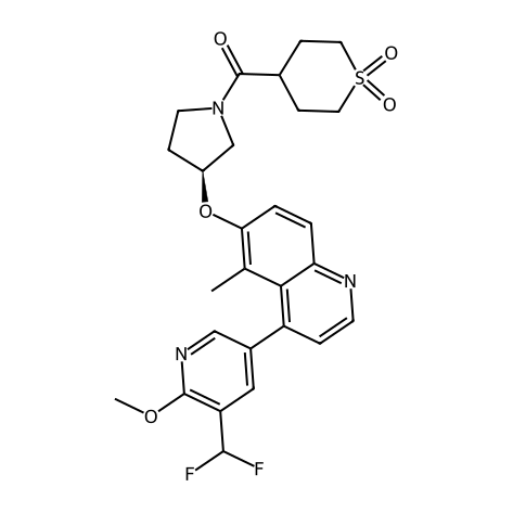 COc1ncc(-c2ccnc3ccc(O[C@H]4CCN(C(=O)C5CCS(=O)(=O)CC5)C4)c(C)c23)cc1C(F)F